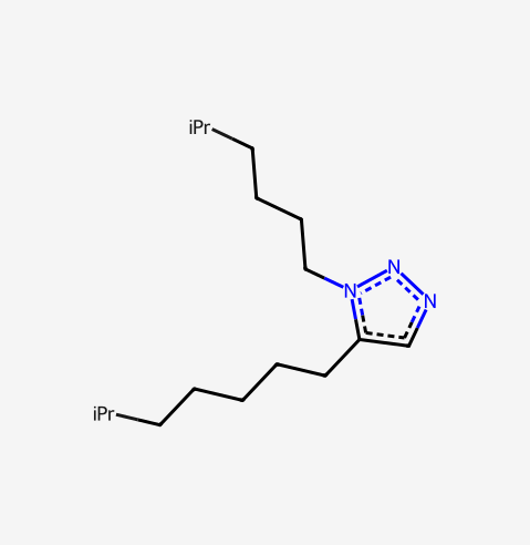 CC(C)CCCCCc1cnnn1CCCCC(C)C